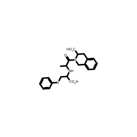 CC(NC(CSc1ccccc1)C(=O)O)C(=O)N1Cc2ccccc2CC1C(=O)O